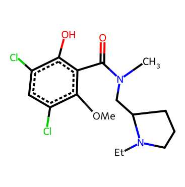 CCN1CCCC1CN(C)C(=O)c1c(O)c(Cl)cc(Cl)c1OC